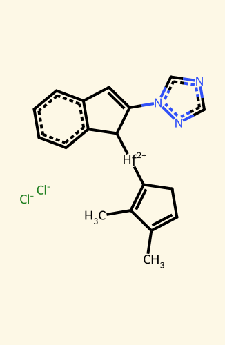 CC1=CC[C]([Hf+2][CH]2C(n3cncn3)=Cc3ccccc32)=C1C.[Cl-].[Cl-]